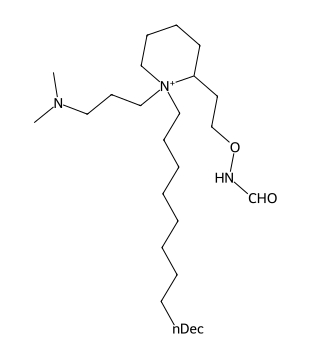 CCCCCCCCCCCCCCCCCC[N+]1(CCCN(C)C)CCCCC1CCONC=O